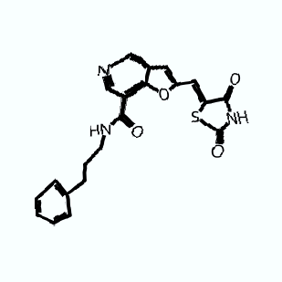 O=C1NC(=O)C(=Cc2cc3cncc(C(=O)NCCCc4ccccc4)c3o2)S1